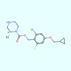 CC[C@@H]1CNCCN1C(=O)OCc1c(F)cc(OCC2CC2)cc1Cl